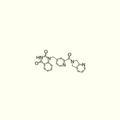 O=C(c1cc(Cn2c(=O)[nH]c(=O)c3ccccc32)ccn1)N1Cc2cccnc2C1